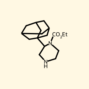 CCOC(=O)N1CCNCC1C12CC3CC(CC(C3)C1)C2